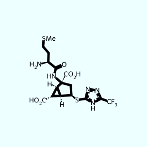 CSCC[C@H](N)C(=O)N[C@@]1(C(=O)O)C[C@@H](Sc2nnc(C(F)(F)F)[nH]2)[C@H]2[C@H](C(=O)O)[C@H]21